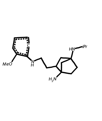 COc1ccccc1NCCC1CC2(NC(C)C)CCC1(N)C2